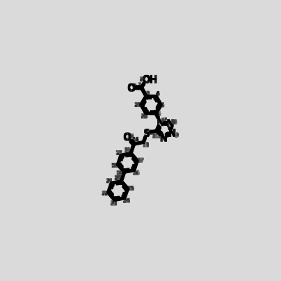 O=C(O)c1ccc(-n2nnnc2SCC(=O)c2ccc(-c3ccccc3)cc2)cc1